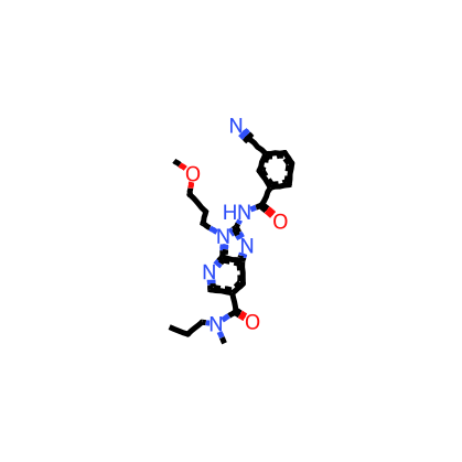 CCCN(C)C(=O)c1cnc2c(c1)nc(NC(=O)c1cccc(C#N)c1)n2CCCOC